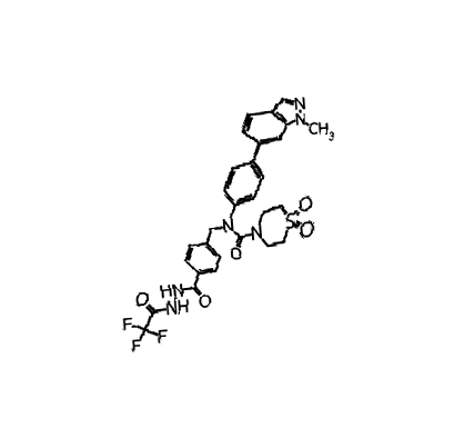 Cn1ncc2ccc(-c3ccc(N(Cc4ccc(C(=O)NNC(=O)C(F)(F)F)cc4)C(=O)N4CCS(=O)(=O)CC4)cc3)cc21